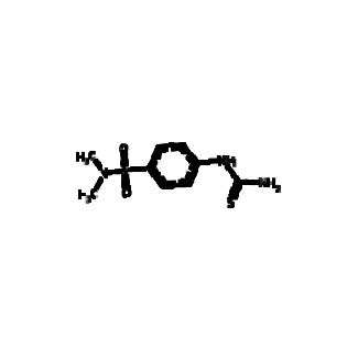 CN(C)S(=O)(=O)c1ccc(NC(N)=S)cc1